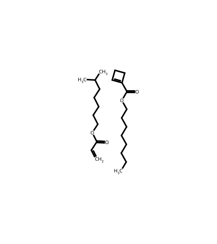 C=CC(=O)OCCCCCC(C)C.CCCCCCCCOC(=O)C1=CCC1